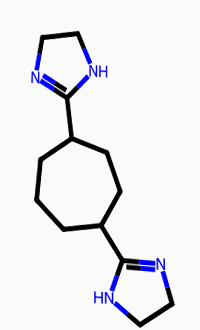 C1CC(C2=NCCN2)CCC(C2=NCCN2)C1